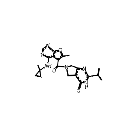 Cc1oc2ncnc(NC3(C)CC3)c2c1C(=O)N1Cc2nc(C(C)C)[nH]c(=O)c2C1